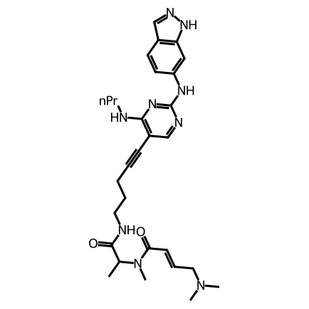 CCCNc1nc(Nc2ccc3cn[nH]c3c2)ncc1C#CCCCNC(=O)C(C)N(C)C(=O)/C=C/CN(C)C